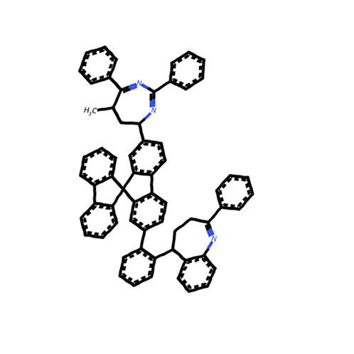 CC1CC(c2ccc3c(c2)C2(c4ccccc4-c4ccccc42)c2cc(-c4ccccc4C4CCC(c5ccccc5)=Nc5ccccc54)ccc2-3)N=C(c2ccccc2)N=C1c1ccccc1